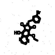 CCOc1c2c(c(O)c3nccnc13)C(=O)N(Cc1cccc(Br)c1)C2=O